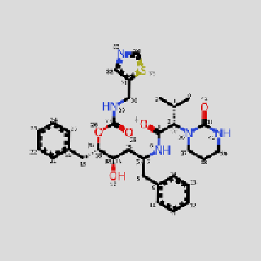 CC(C)[C@@H](C(=O)N[C@@H](Cc1ccccc1)C[C@@H](O)[C@H](Cc1ccccc1)OC(=O)NCc1cncs1)N1CCCNC1=O